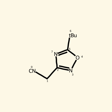 [C-]#[N+]Cc1noc(C(C)(C)C)n1